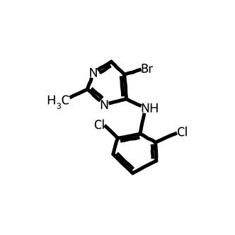 Cc1ncc(Br)c(Nc2c(Cl)cccc2Cl)n1